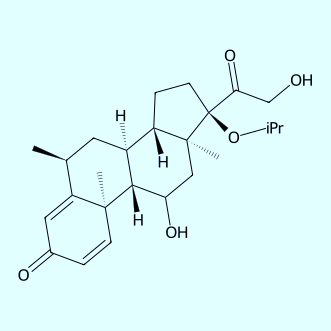 CC(C)O[C@]1(C(=O)CO)CC[C@H]2[C@@H]3C[C@H](C)C4=CC(=O)C=C[C@]4(C)[C@H]3C(O)C[C@@]21C